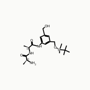 C[C@H](N)C(=O)N[C@@H](C)C(=O)Nc1cc(CO)cc(CO[Si](C)(C)C(C)(C)C)c1